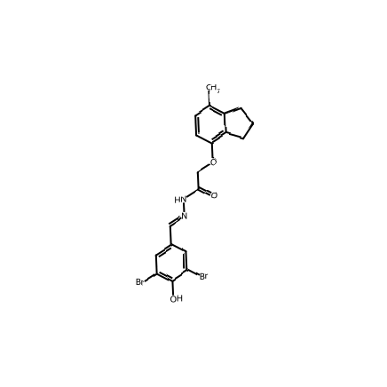 Cc1ccc(OCC(=O)N/N=C/c2cc(Br)c(O)c(Br)c2)c2c1CCC2